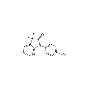 CC(C)c1ccc(N2C(=O)C(C)(C)c3cccnc32)cc1